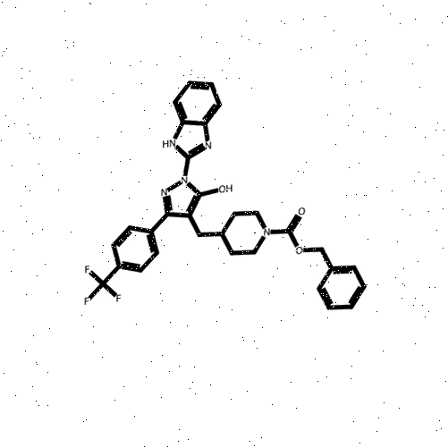 O=C(OCc1ccccc1)N1CCC(Cc2c(-c3ccc(C(F)(F)F)cc3)nn(-c3nc4ccccc4[nH]3)c2O)CC1